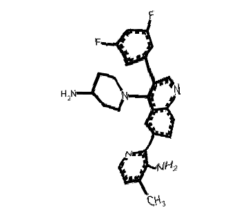 Cc1ccnc(-c2ccc3ncc(-c4cc(F)cc(F)c4)c(N4CCC(N)CC4)c3c2)c1N